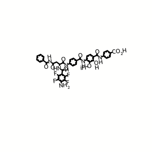 CC(C)Oc1c(NC(=O)c2ccc(NC(=O)C(CC(=O)NC(=O)c3ccccc3)NC(=O)c3c(F)c(F)c(N)c(F)c3F)cc2)ccc(C(=O)Nc2ccc(C(=O)O)cc2)c1O